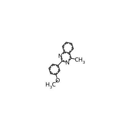 COc1cccc(-c2nc(C)c3ccccc3n2)c1